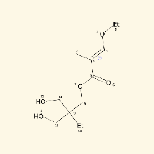 CCO/C=C(\C)C(=O)OCC(CC)(CO)CO